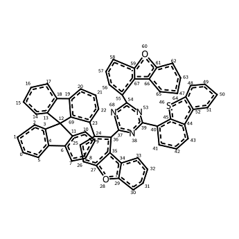 c1ccc2c(c1)-c1ccccc1C21c2ccccc2-c2cccc(-c3ccc4oc5ccccc5c4c3-c3nc(-c4cccc5c4sc4ccccc45)nc(-c4cccc5oc6ccccc6c45)n3)c21